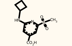 CS(=O)(=O)c1cc(C(=O)O)cc(NC2CCC2)n1